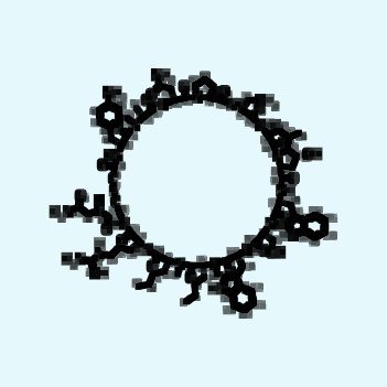 CCCC[C@H]1C(=O)N(C)[C@@H](CCCC)C(=O)N[C@@H](CCCNC(=N)N)C(=O)N[C@H](C(=O)NCC(N)=O)CSCC(=O)N[C@@H](Cc2ccc(N)cc2)C(=O)N(C)[C@@H](C)C(=O)N[C@@H](CC(N)=O)C(=O)N2CCC[C@H]2C(=O)N[C@@H](CN)C(=O)N[C@H]2CC(C)C3[C@H](O)CC(C(=O)N[C@@H](Cc4c[nH]c5ccccc45)C(=O)N[C@@H](CO)C(=O)N[C@@H](Cc4c[nH]c5ccccc45)C(=O)N1C)N3C2=O